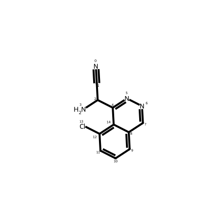 N#CC(N)c1nncc2cccc(Cl)c12